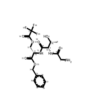 C[C@@H](O)[C@H](NC(=O)CN)C(=O)N[C@@H](COC(=O)C(F)(F)F)C(=O)OCc1ccccc1